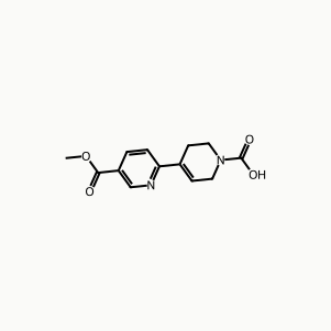 COC(=O)c1ccc(C2=CCN(C(=O)O)CC2)nc1